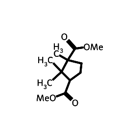 COC(=O)C1CCC(C)(C(=O)OC)C1(C)C